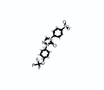 O=c1n(-c2ccc([N+](=O)[O-])cc2)cnn1-c1ccc(OC(F)(F)F)cc1